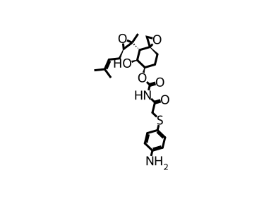 CC(C)=CC[C@H]1OC1(C)[C@H]1[C@H](O)[C@H](OC(=O)NC(=O)CSc2ccc(N)cc2)CC[C@]12CO2